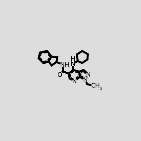 CCn1ncc2c(NC3CCCCC3)c(C(=O)NC3Cc4ccccc4C3)cnc21